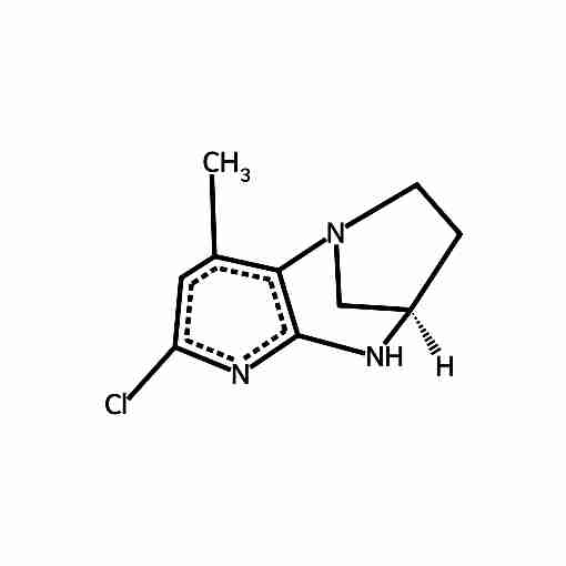 Cc1cc(Cl)nc2c1N1CC[C@H](C1)N2